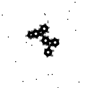 c1ccc(-n2c3ccccc3c3cc(-n4c5ccccc5c5cc6ccsc6cc54)ccc32)cc1